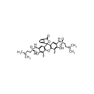 CN(C)CCS(=O)(=O)Nc1cc2c(c(F)c1O)Oc1c(cc(NS(=O)(=O)CCN(C)C)c(O)c1F)C21OC(=O)c2ccccc21